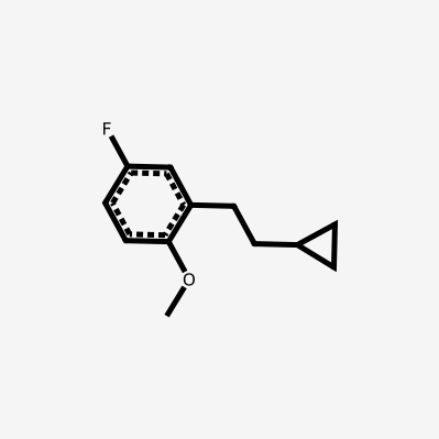 COc1ccc(F)cc1CCC1CC1